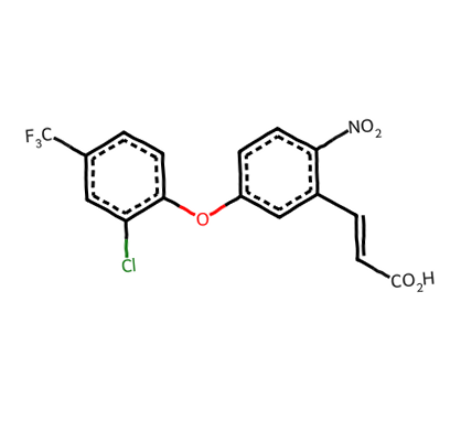 O=C(O)C=Cc1cc(Oc2ccc(C(F)(F)F)cc2Cl)ccc1[N+](=O)[O-]